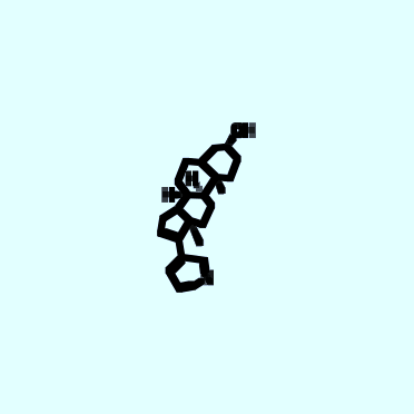 C[C@]12CC[C@H](O)CC1CC[C@H]1C3CC=C(c4cccnc4)[C@@]3(C)CC[C@@H]12